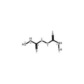 S=C(NS)SSC(=S)NS